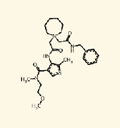 COCCN(C)C(=O)c1csc(C)c1NC(=O)C[N+]1(CC(=O)NCc2ccccc2)CCCCCC1